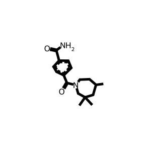 CC1CCN(C(=O)c2ccc(C(N)=O)cc2)CC(C)(C)C1